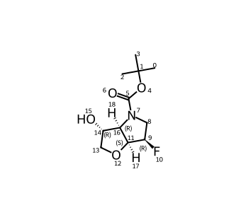 CC(C)(C)OC(=O)N1C[C@@H](F)[C@H]2OC[C@H](O)[C@H]21